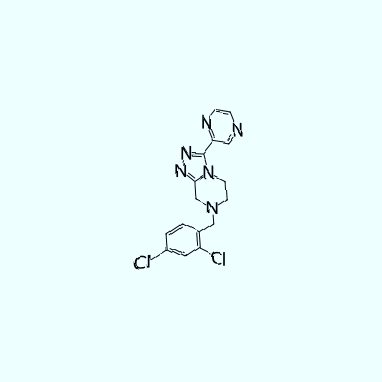 Clc1ccc(CN2CCn3c(nnc3-c3cnccn3)C2)c(Cl)c1